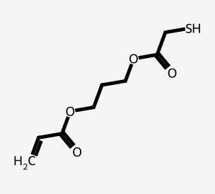 C=CC(=O)OCCCOC(=O)CS